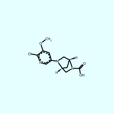 COc1cc(N2C[C@H]3C[C@@H]2CN3C(=O)O)cnc1Cl